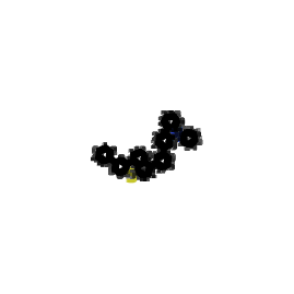 c1ccc(-c2ccc3c(c2)-c2cccc4c(-c5cccc(-c6ccc7c8ccccc8n(-c8ccccc8)c7c6)c5)ccc(c24)S3)cc1